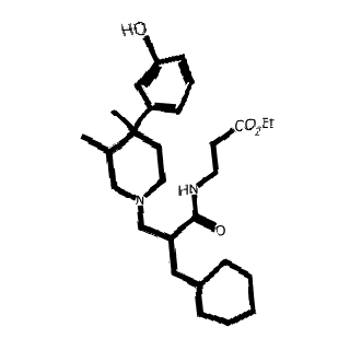 CCOC(=O)CCNC(=O)C(CC1CCCCC1)CN1CCC(C)(c2cccc(O)c2)C(C)C1